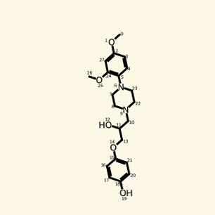 COc1ccc(N2CCN(CC(O)COc3ccc(O)cc3)CC2)c(OC)c1